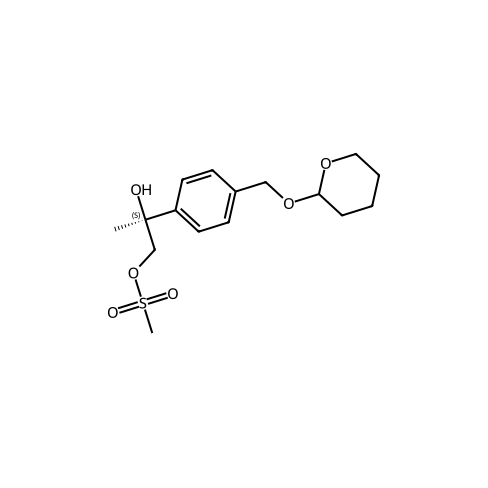 C[C@@](O)(COS(C)(=O)=O)c1ccc(COC2CCCCO2)cc1